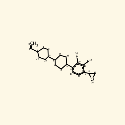 C=CC1CCC(C2CCC(c3ccc(C4CO4)c(F)c3F)CC2)CC1